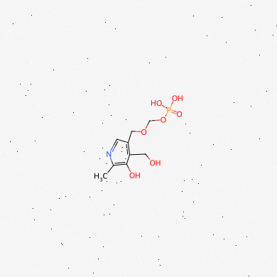 Cc1ncc(COCOP(=O)(O)O)c(CO)c1O